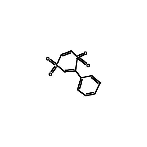 O=S1(=O)C=CS(=O)(=O)C(c2ccccc2)=C1